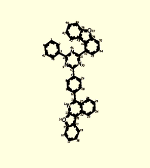 c1ccc(-c2nc(-c3ccc(-c4nc5oc6ccccc6c5c5ccccc45)cc3)nc(-c3cccc4oc5ccccc5c34)n2)cc1